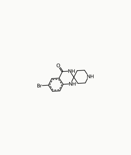 O=C1NC2([CH]CNCC2)Nc2ccc(Br)cc21